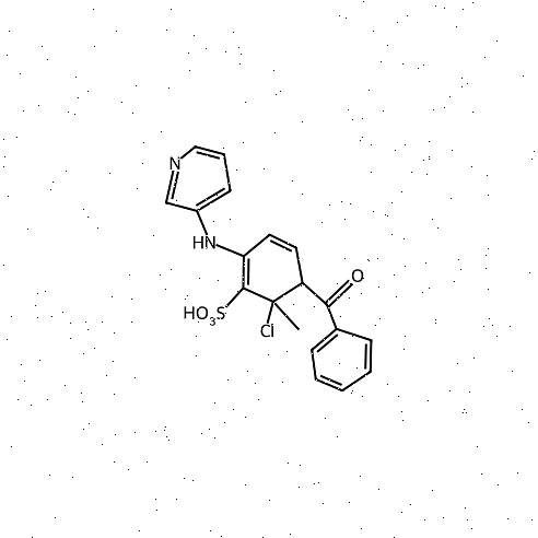 CC1(Cl)C(S(=O)(=O)O)=C(Nc2cccnc2)C=CC1C(=O)c1ccccc1